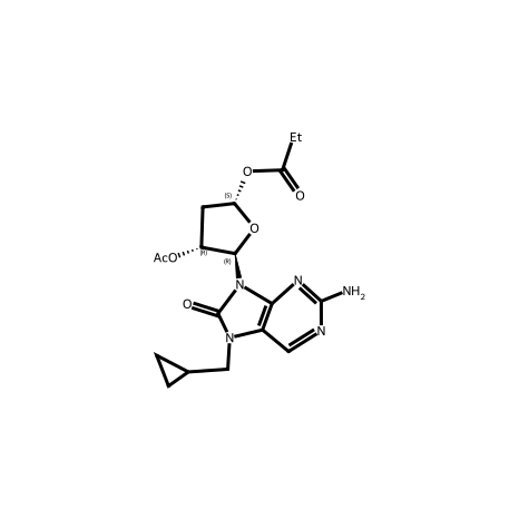 CCC(=O)O[C@H]1C[C@@H](OC(C)=O)[C@H](n2c(=O)n(CC3CC3)c3cnc(N)nc32)O1